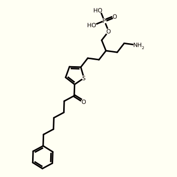 NCCC(CCc1ccc(C(=O)CCCCCc2ccccc2)s1)COP(=O)(O)O